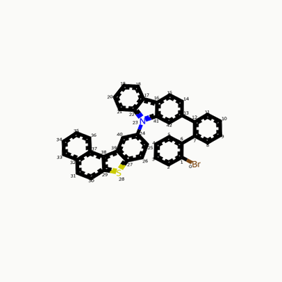 Brc1ccccc1-c1ccccc1-c1ccc2c3ccccc3n(-c3ccc4sc5ccc6ccccc6c5c4c3)c2c1